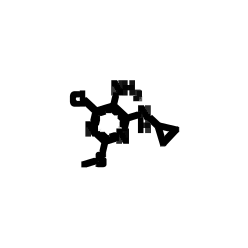 CSc1nc(Cl)c(N)c(NC2CC2)n1